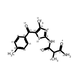 C[C](C(N)=O)C(=O)Nc1nc(C(F)(F)F)c(C(=O)c2ccc(C)cc2)s1